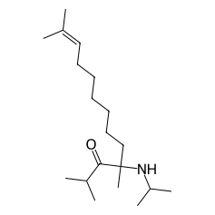 CC(C)=CCCCCCCC(C)(NC(C)C)C(=O)C(C)C